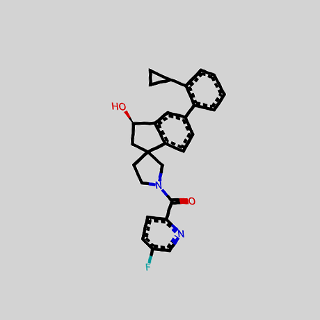 O=C(c1ccc(F)cn1)N1CCC2(C[C@@H](O)c3cc(-c4ccccc4C4CC4)ccc32)C1